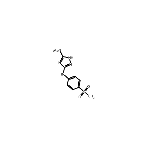 CNc1nc(Nc2ccc(S(C)(=O)=O)cc2)n[nH]1